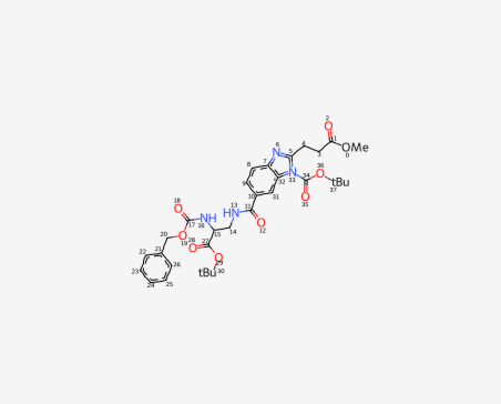 COC(=O)CCc1nc2ccc(C(=O)NCC(NC(=O)OCc3ccccc3)C(=O)OC(C)(C)C)cc2n1C(=O)OC(C)(C)C